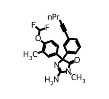 CCCC#Cc1cccc(C2(c3ccc(OC(F)F)c(C)c3)N=C(N)N(C)C2=O)c1